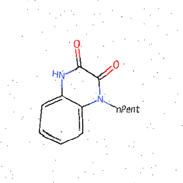 CCCCCn1c(=O)c(=O)[nH]c2ccccc21